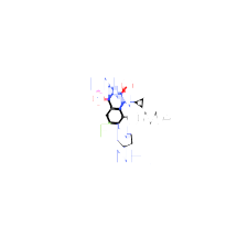 COc1c(N2CCC(N)C2)c(F)cc2c(=O)n(N)c(=O)n(C3CC3)c12